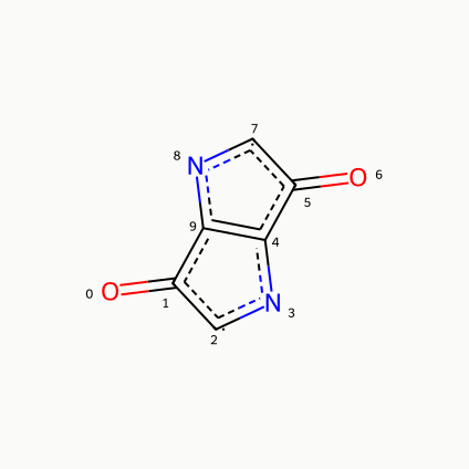 O=c1[c]nc2c(=O)[c]nc1=2